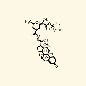 C/C(=N\OC(=O)N(CCN(C)C(=O)OC(C)(C)C)CC(C)C)[C@H]1CC[C@H]2[C@@H]3CCC4=CC(=O)CC[C@]4(C)[C@H]3CC[C@]12C